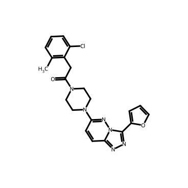 Cc1cccc(Cl)c1CC(=O)N1CCN(c2ccc3nnc(-c4ccco4)n3n2)CC1